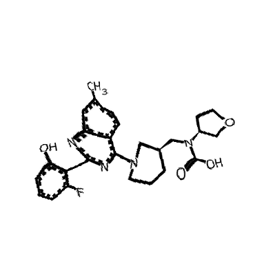 Cc1ccc2c(N3CCC[C@H](CN(C(=O)O)[C@H]4CCOC4)C3)nc(-c3c(O)cccc3F)nc2c1